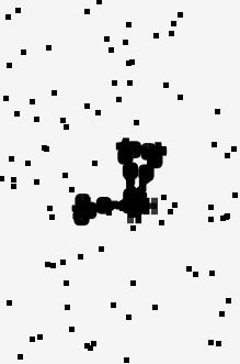 C=C(C)C(=O)OCCOCCCCO[PH](O)(OCCCCOCCOC(=O)C(=C)C)OCCCCOCCOC(=O)C1(C)CO1